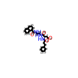 O=CCC(NC(=O)CCc1ccccc1)C(=O)NCCNC(=O)c1cccc2ccccc12